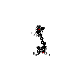 COC(=O)NC(C(=O)N1[C@H](c2ncc(-c3ccc(-c4ccc5cc(-c6cnc([C@@H]7C[C@@]8(C)C[C@H]8N7C(=O)[C@@H](NC(=O)OC)C7CCOCC7)[nH]6)ccc5c4)cc3)[nH]2)C[C@@]2(C)C[C@@H]12)C1CCOCC1